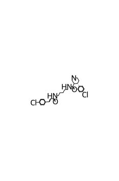 CN1CC[C@H](c2ccc(Cl)cc2)C(C(=O)NCCCCCNC(=O)C=Cc2ccc(Cl)cc2)C1